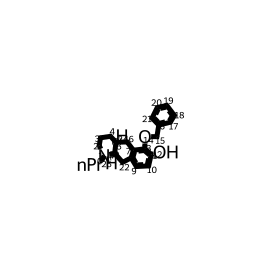 CCCN1CCC[C@@H]2Cc3c(ccc(O)c3OCc3ccccc3)C[C@H]21